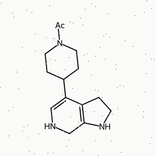 CC(=O)N1CCC(C2=CNCC3=C2CCN3)CC1